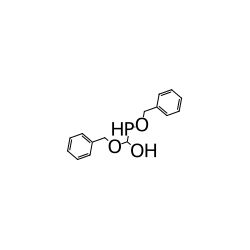 OC(OCc1ccccc1)POCc1ccccc1